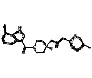 Cc1ccc(CNCC2(F)CCN(C(=O)c3c[nH]c4c(Br)cccc34)CC2)nc1